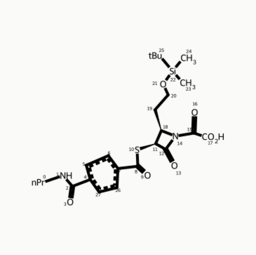 CCCNC(=O)c1ccc(C(=O)S[C@@H]2C(=O)N(C(=O)C(=O)O)[C@@H]2CCO[Si](C)(C)C(C)(C)C)cc1